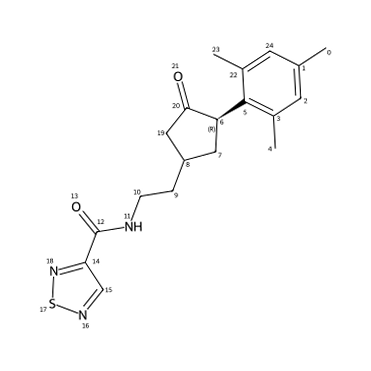 Cc1cc(C)c([C@H]2CC(CCNC(=O)c3cnsn3)CC2=O)c(C)c1